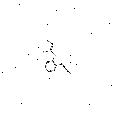 O=C=Nc1ccccc1O/C(Cl)=C/Cl